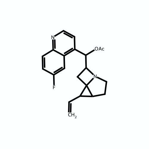 C=CC1C2CCN3C(C(OC(C)=O)c4ccnc5ccc(F)cc45)CC123